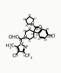 Cc1c(Cl)c(C(F)(F)F)nn1C(C=O)N1CCC(C(=O)N2CCCC2)(c2ccc(Cl)cc2)CC1